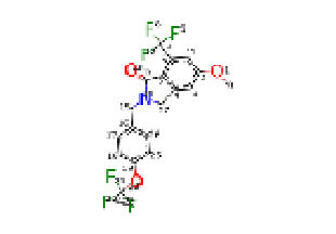 COc1cc2c(c(C(F)(F)F)c1)C(=O)N(Cc1ccc(OC(F)(F)F)cc1)C2